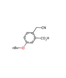 CCCCOc1ccc(CC#N)c(C(=O)O)c1